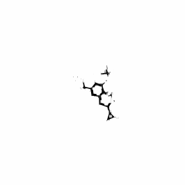 [2H]C([2H])([2H])Oc1cc(C(=O)OC)cc2cc(C3CC3)nnc12